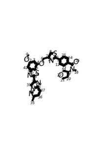 COc1cc(OCc2csc(-c3ccc(C(=O)N(C)[C@H]4CCOC4)cc3)n2)c2sc(-c3cn4nc(C)ccc4n3)nc2c1